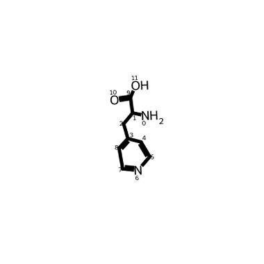 NC(Cc1ccncc1)C(=O)O